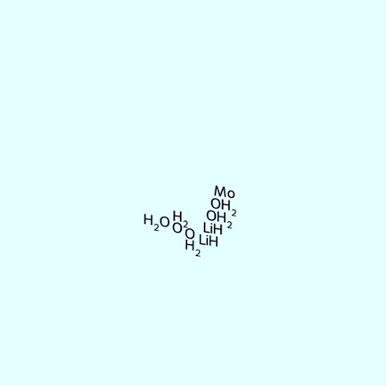 O.O.O.O.O.[LiH].[LiH].[Mo]